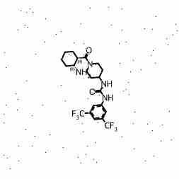 N[C@@H]1CCCC[C@H]1C(=O)N1CCC(NC(=O)Nc2cc(C(F)(F)F)cc(C(F)(F)F)c2)CC1